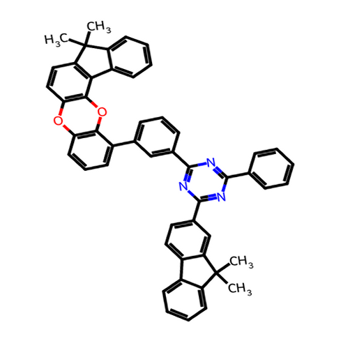 CC1(C)c2ccccc2-c2ccc(-c3nc(-c4ccccc4)nc(-c4cccc(-c5cccc6c5Oc5c(ccc7c5-c5ccccc5C7(C)C)O6)c4)n3)cc21